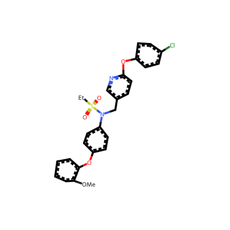 CCS(=O)(=O)N(Cc1ccc(Oc2ccc(Cl)cc2)nc1)c1ccc(Oc2ccccc2OC)cc1